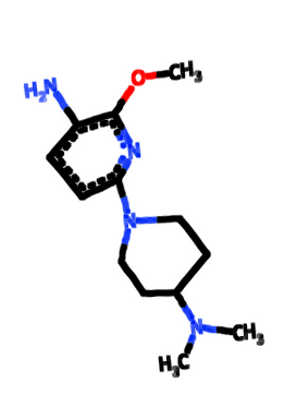 COc1nc(N2CCC(N(C)C)CC2)ccc1N